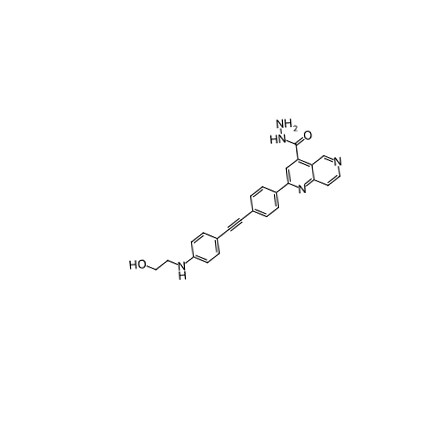 NNC(=O)c1cc(-c2ccc(C#Cc3ccc(NCCO)cc3)cc2)nc2ccncc12